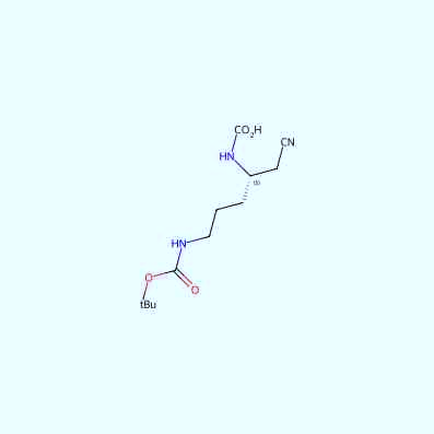 CC(C)(C)OC(=O)NCCC[C@@H](CC#N)NC(=O)O